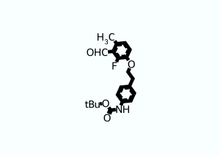 Cc1ccc(OCCc2ccc(NC(=O)OC(C)(C)C)cc2)c(F)c1C=O